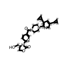 O=C(c1ccc(N2C(=O)OC[C@H]2CO)nc1)N1CCN(c2ncc(C3CC3)cc2C2CC2)CC1